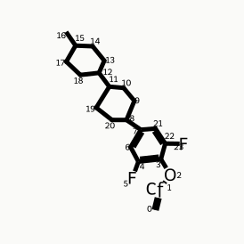 [CH2]=[Cf][O]c1c(F)cc(C2CCC(C3CCC(C)CC3)CC2)cc1F